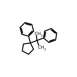 CC(C)(c1ccccc1)C1(c2ccccc2)CCCC1